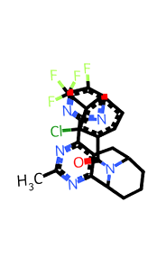 Cc1nc(-c2ncc(F)cn2)c2c(n1)C1CCCC(C2)N1C(=O)c1cccc(C(F)(F)F)c1Cl